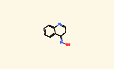 ON=C1CC=Nc2ccccc21